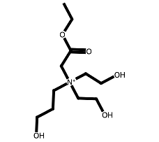 CCOC(=O)C[N+](CCO)(CCO)CCCO